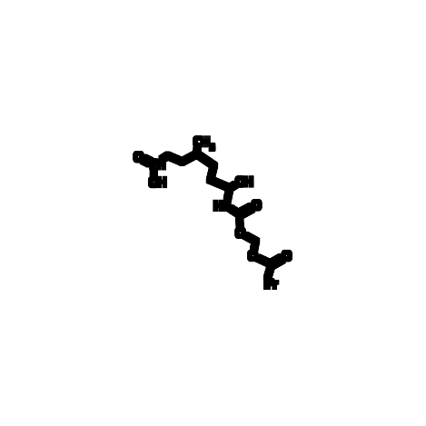 CC(CCC(O)NC(=O)OCOC(=O)C(C)C)CC[PH](=O)O